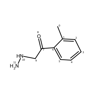 Cc1ccccc1C(=O)CNN